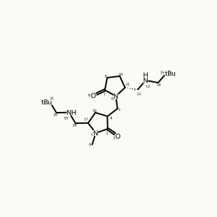 CN1C(=O)C(CN2C(=O)CC[C@@H]2CNCC(C)(C)C)CC1CNCC(C)(C)C